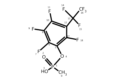 CP(=O)(O)Oc1c(F)c(F)c(F)c(C(F)(F)C(F)(F)F)c1F